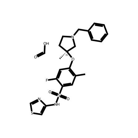 Cc1cc(S(=O)(=O)Nc2cscn2)c(F)cc1O[C@@]1(C)CCN(Cc2ccccc2)C1.O=CO